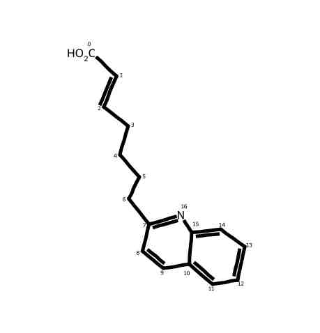 O=C(O)C=CCCCCc1ccc2ccccc2n1